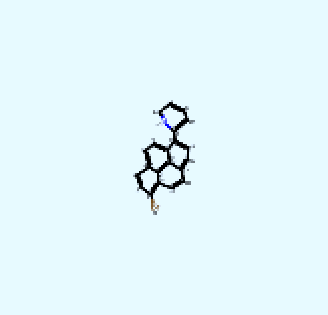 Brc1ccc2ccc3c(-c4ccccn4)ccc4ccc1c2c43